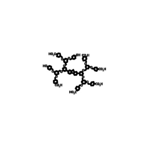 O=C(O)c1ccc(COc2cc(COc3cc(OCc4cc(OCc5ccc(O)cc5)cc(OCc5ccc(C(=O)O)cc5)c4)cc(-c4ccc5c(c4)Cc4cc(-c6cc(OCc7cc(OCc8ccc(C(=O)O)cc8)cc(OCc8ccc(C(=O)O)cc8)c7)cc(OCc7cc(OCc8ccc(C(=O)O)cc8)cc(OCc8ccc(C(=O)O)cc8)c7)c6)ccc4-5)c3)cc(OCc3ccc(O)cc3)c2)cc1